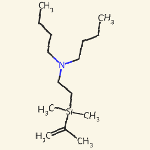 C=C(C)[Si](C)(C)CCN(CCCC)CCCC